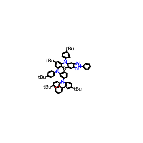 CC(C)(C)c1ccc(N(c2ccc3c(c2)N(c2ccc(C(C)(C)C)cc2)c2cc(C(C)(C)C)cc4c2B3c2cc3nn(-c5ccccc5)nc3cc2N4c2ccc(C(C)(C)C)cc2)c2ccc(C(C)(C)C)cc2-c2ccccc2)cc1